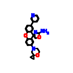 NC1=N[C@@]2(CO1)c1cc(-c3cccnc3)ccc1Oc1ccc(N3CCOC4(CC4)C3)cc12